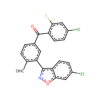 O=Cc1ccc(C(=O)c2ccc(Cl)cc2F)cc1-c1noc2cc(Cl)ccc12